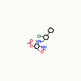 CC(=O)Nc1c(C)cc(OC(C)=O)cc1NCc1ccc(-c2ccccc2)cc1Cl